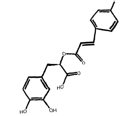 O=C(/C=C/c1ccc(O)cc1)O[C@H](Cc1ccc(O)c(O)c1)C(=O)O